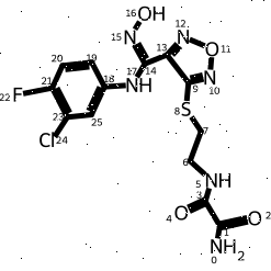 NC(=O)C(=O)NCCSc1nonc1/C(=N\O)Nc1ccc(F)c(Cl)c1